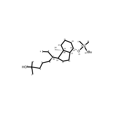 CC(C)(O)CCC[C@@H](CI)C1CCC2[C@@H](O[Si](C)(C)C(C)(C)C)CCC[C@]12C